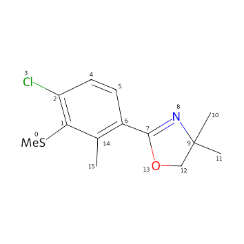 CSc1c(Cl)ccc(C2=NC(C)(C)CO2)c1C